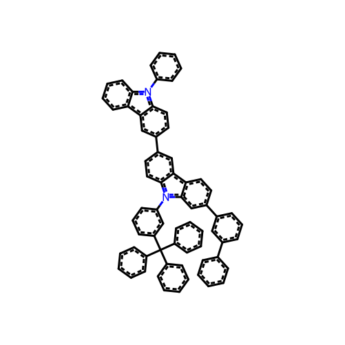 c1ccc(-c2cccc(-c3ccc4c5cc(-c6ccc7c(c6)c6ccccc6n7-c6ccccc6)ccc5n(-c5cccc(C(c6ccccc6)(c6ccccc6)c6ccccc6)c5)c4c3)c2)cc1